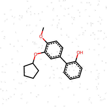 COc1ccc(-c2[c]cccc2O)cc1OC1CCCC1